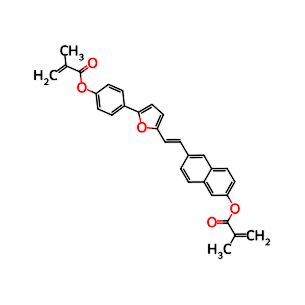 C=C(C)C(=O)Oc1ccc(-c2ccc(/C=C/c3ccc4cc(OC(=O)C(=C)C)ccc4c3)o2)cc1